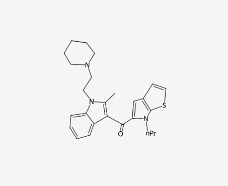 CCCn1c(C(=O)c2c(C)n(CCN3CCCCC3)c3ccccc23)cc2ccsc21